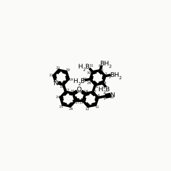 Bc1c(B)c(B)c(-c2c(C#N)ccc3c2oc2c(-c4ccccn4)cccc23)c(B)c1B